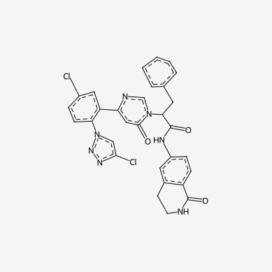 O=C1NCCc2cc(NC(=O)C(Cc3ccccc3)n3cnc(-c4cc(Cl)ccc4-n4cc(Cl)nn4)cc3=O)ccc21